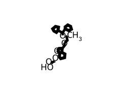 CC(COCc1coc2c(OCC(=O)O)cccc12)OC(c1ccccc1)c1ccccc1